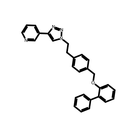 c1ccc(-c2ccccc2OCc2ccc(CCn3cc(-c4cccnc4)nn3)cc2)cc1